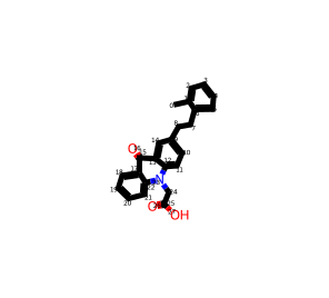 Cc1ccccc1CCc1ccc2c(c1)c(=O)c1ccccc1n2CC(=O)O